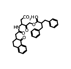 O=C(O)CC(NC(=O)CC1CCc2ccccc2C1=O)C(=O)COC(=O)C(Cc1ccccc1)Cc1ccccc1